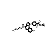 O=C(NC1CC1)c1ccc(-c2cnc3c(NCCCCO)nc4ccc(F)cc4n23)cc1Cl